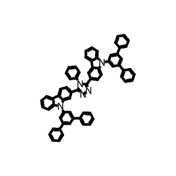 c1ccc(-c2cc(-c3ccccc3)cc(-n3c4ccccc4c4cc(-c5nnc(-c6ccc7c8ccccc8n(-c8cc(-c9ccccc9)cc(-c9ccccc9)c8)c7c6)n5-c5ccccc5)ccc43)c2)cc1